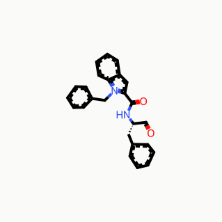 O=C[C@H](Cc1ccccc1)NC(=O)c1cc2ccccc2n1Cc1ccccc1